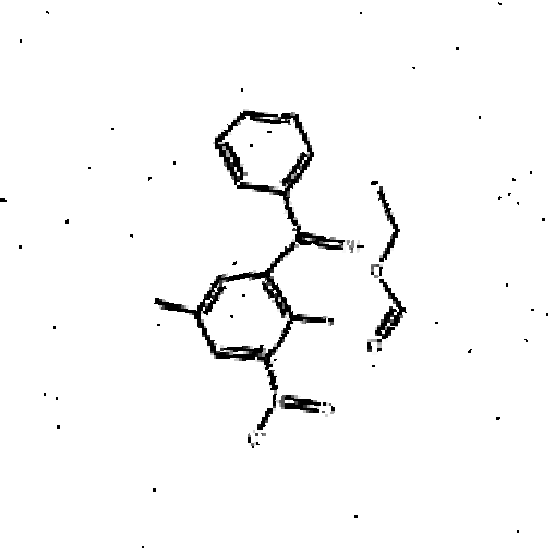 CCOC=O.Cc1cc(C(=N)c2ccccc2)c(C)c([N+](=O)[O-])c1